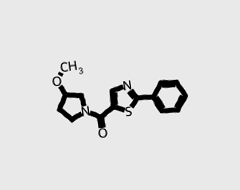 COC1CCN(C(=O)c2cnc(-c3ccccc3)s2)C1